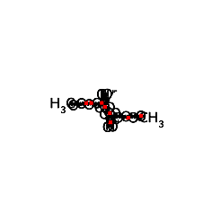 COCCOCCOCCOC(=O)c1cc([N+](=O)[O-])ccc1OC(=O)C(=O)Oc1ccc([N+](=O)[O-])cc1C(=O)OCCOCCOCCOC